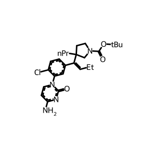 CC/C=C(/c1ccc(Cl)c(-n2ccc(N)nc2=O)c1)C1(CCC)CCN(C(=O)OC(C)(C)C)C1